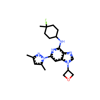 Cc1cc(C)n(-c2cc3c(ncn3C3COC3)c(NC3CCC(C)(F)CC3)n2)n1